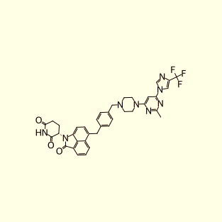 Cc1nc(N2CCN(Cc3ccc(Cc4ccc5c6c(cccc46)C(=O)N5[C@H]4CCC(=O)NC4=O)cc3)CC2)cc(-n2cnc(C(F)(F)F)c2)n1